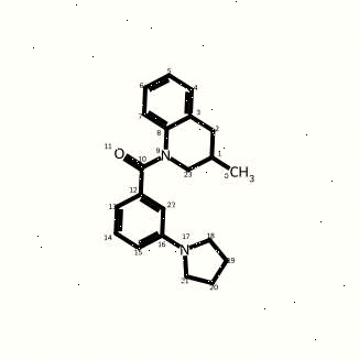 CC1Cc2ccccc2N(C(=O)c2cccc(N3CCCC3)c2)C1